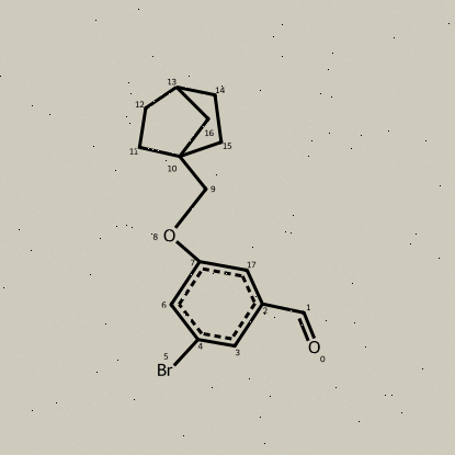 O=Cc1cc(Br)cc(OCC23CCC(CC2)C3)c1